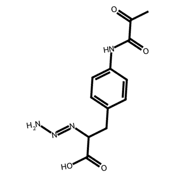 CC(=O)C(=O)Nc1ccc(CC(N=NN)C(=O)O)cc1